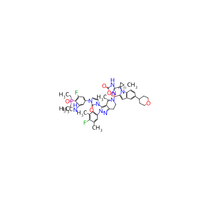 CCP(=O)(CC)c1c(F)cc(-n2ccn(-c3c4c(nn3-c3cc(C)c(F)c(C)c3)CCN(C(=O)c3cc5cc(C6CCOCC6)ccc5n3[C@@]3(c5noc(=O)[nH]5)C[C@@H]3C)[C@H]4C)c2=O)cc1NC